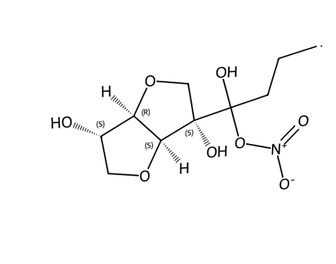 [CH2]CCC(O)(O[N+](=O)[O-])[C@]1(O)CO[C@@H]2[C@@H](O)CO[C@@H]21